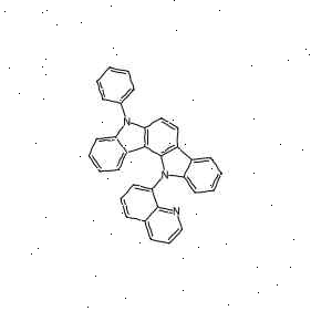 c1ccc(-n2c3ccccc3c3c2ccc2c4ccccc4n(-c4cccc5cccnc45)c23)cc1